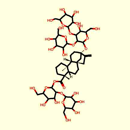 C=C1C[C@@]23CC[C@H]4[C@@](C)(CCC[C@@]4(C)C(=O)OC4OC(CO)C(O)C(O)C4OC4OC(CO)C(O)C(O)C4O)[C@@H]2CC[C@]1(OC1OC(CO)C(O)C(OC2OC(CO)C(O)C(O)C2O)C1OC1OC(CO)C(O)C(O)C1O)C3